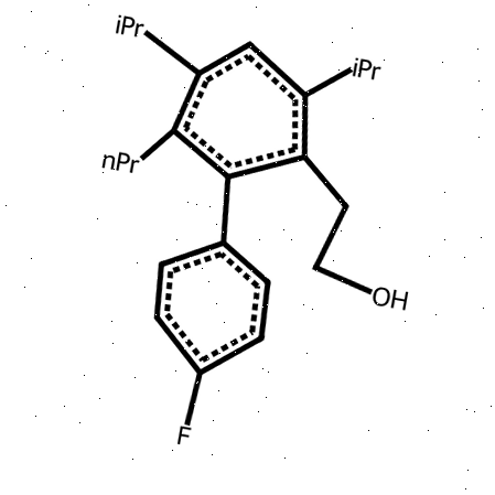 CCCc1c(C(C)C)cc(C(C)C)c(CCO)c1-c1ccc(F)cc1